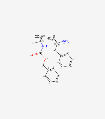 C[C@H](NC(=O)OCc1ccccc1)C(=O)O.N[C@@H](Cc1ccccc1)C(=O)O